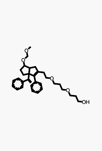 C=C(c1ccccc1)C12CCC(OCOC)C1CC(CCOCCCOCCCO)=C2c1ccccc1